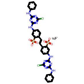 O=S(=O)([O-])c1cc(Nc2nc(Cl)nc(Nc3ccccc3)n2)ccc1C=Cc1ccc(Nc2nc(Cl)nc(Nc3ccccc3)n2)cc1S(=O)(=O)[O-].[K+].[Na+]